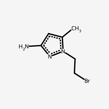 Cc1cc(N)nn1CCBr